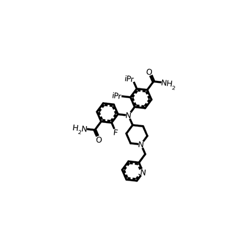 CC(C)c1c(C(N)=O)ccc(N(c2cccc(C(N)=O)c2F)C2CCN(Cc3ccccn3)CC2)c1C(C)C